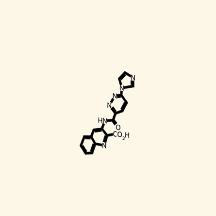 O=C(Nc1cc2ccccc2nc1C(=O)O)c1ccc(-n2ccnc2)nn1